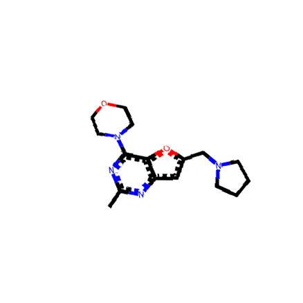 Cc1nc(N2CCOCC2)c2oc(CN3CCCC3)cc2n1